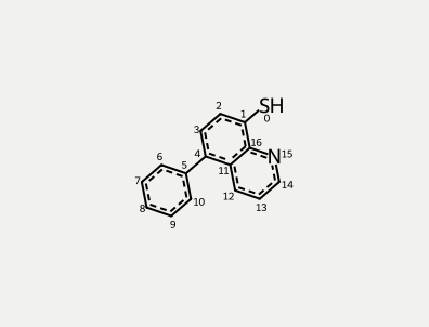 Sc1ccc(-c2ccccc2)c2cccnc12